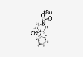 [C-]#[N+]C1(c2ccccc2)CCN(C(=O)OC(C)(C)C)CC1